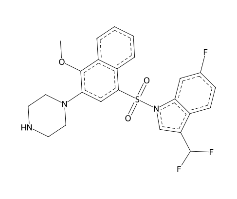 COc1c(N2CCNCC2)cc(S(=O)(=O)n2cc(C(F)F)c3ccc(F)cc32)c2ccccc12